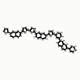 c1csc(-c2ccc3ccc(-c4ccc(-c5cnc(-c6ccc7ccc(-c8ncc(-c9cc(-c%10ccc%11ccc(-c%12ccncc%12)cc%11c%10)ccn9)s8)cc7c6)s5)s4)cc3c2)c1